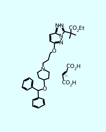 CCOC(=O)C(C)(C)c1nnc2ccc(OCCCN3CCC(OC(c4ccccc4)c4ccccc4)CC3)nn12.O=C(O)/C=C/C(=O)O